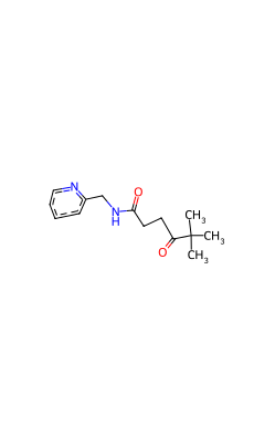 CC(C)(C)C(=O)CCC(=O)NCc1ccccn1